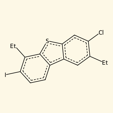 CCc1cc2c(cc1Cl)sc1c(CC)c(I)ccc12